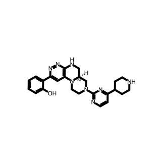 Oc1ccccc1-c1cc2c(nn1)NC[C@H]1CN(c3nccc(C4CCNCC4)n3)CCN21